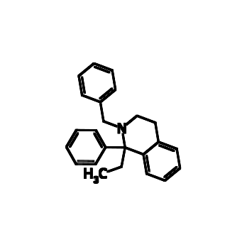 CCC1(c2ccccc2)c2ccccc2CCN1Cc1ccccc1